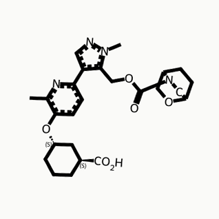 Cc1nc(-c2cnn(C)c2COC(=O)N2CC3CCC2CO3)ccc1O[C@H]1CCC[C@H](C(=O)O)C1